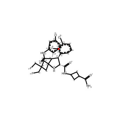 NC(=O)C1CC(NC(=O)[C@@H]2NC3(CC(CF)(CF)C3)[C@@]3(C(=O)Nc4cc(Cl)ccc43)[C@H]2c2cccc(Cl)c2F)C1